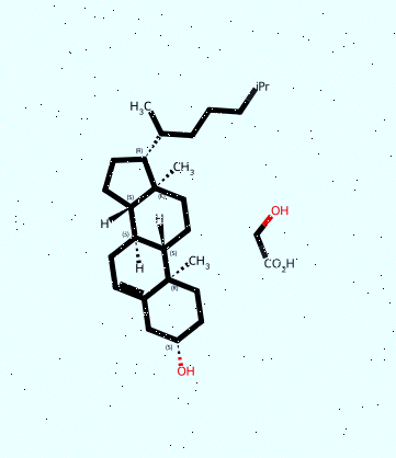 CC(C)CCCC(C)[C@H]1CC[C@H]2[C@@H]3CC=C4C[C@@H](O)CC[C@]4(C)[C@H]3CC[C@]12C.O=C(O)CO